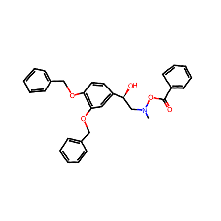 CN(C[C@H](O)c1ccc(OCc2ccccc2)c(OCc2ccccc2)c1)OC(=O)c1ccccc1